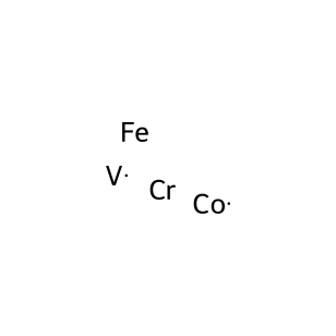 [Co].[Cr].[Fe].[V]